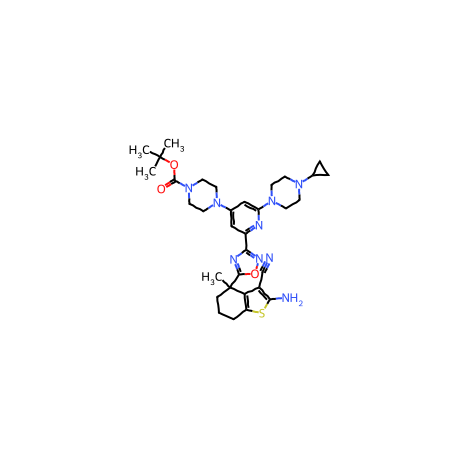 CC(C)(C)OC(=O)N1CCN(c2cc(-c3noc(C4(C)CCCc5sc(N)c(C#N)c54)n3)nc(N3CCN(C4CC4)CC3)c2)CC1